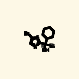 CC[C@@](O)(c1ncc(Br)s1)C1CCCCC1